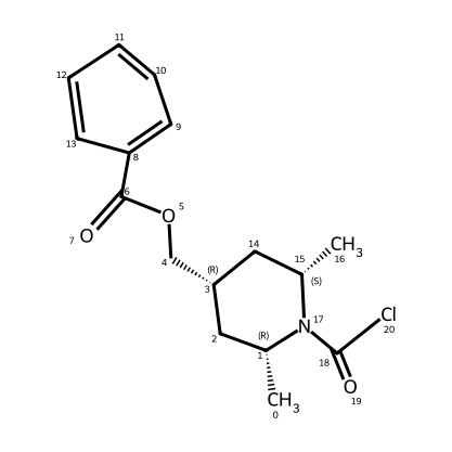 C[C@@H]1C[C@H](COC(=O)c2ccccc2)C[C@H](C)N1C(=O)Cl